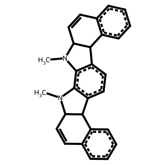 CN1c2c(ccc3c2N(C)C2C=Cc4ccccc4C32)C2c3ccccc3C=CC21